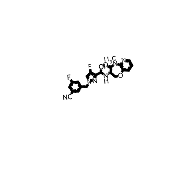 CN1C(=O)[C@@H](NC(O)c2nn(Cc3cc(F)cc(C#N)c3)cc2F)COc2cccnc21